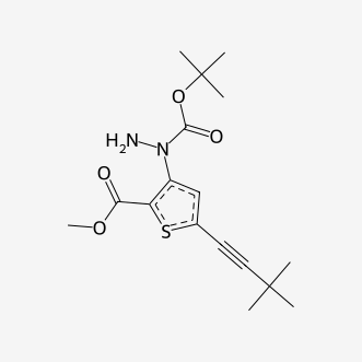 COC(=O)c1sc(C#CC(C)(C)C)cc1N(N)C(=O)OC(C)(C)C